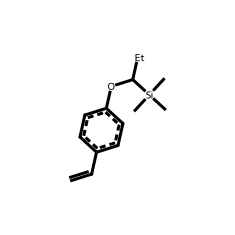 C=Cc1ccc(OC(CC)[Si](C)(C)C)cc1